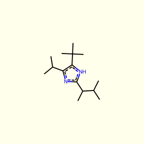 CC(C)c1nc(C(C)C(C)C)[nH]c1C(C)(C)C